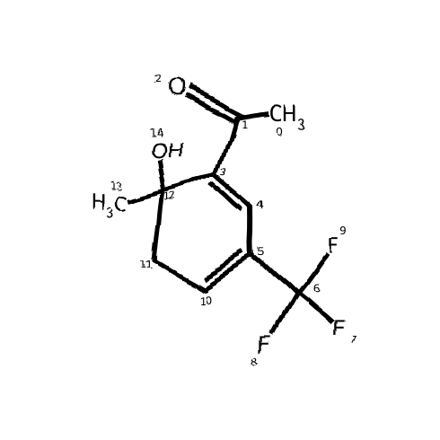 CC(=O)C1=CC(C(F)(F)F)=CCC1(C)O